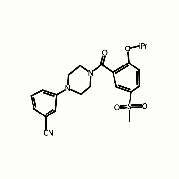 CC(C)Oc1ccc(S(C)(=O)=O)cc1C(=O)N1CCN(c2cccc(C#N)c2)CC1